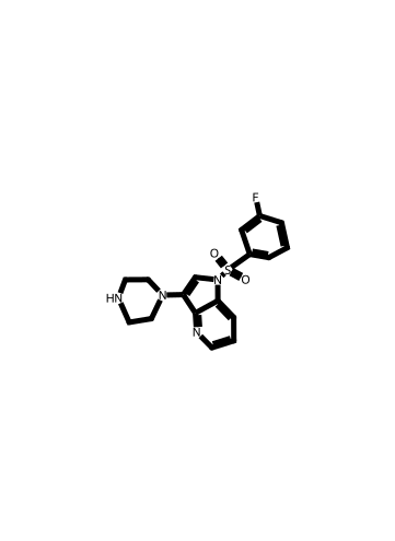 O=S(=O)(c1cccc(F)c1)n1cc(N2CCNCC2)c2ncccc21